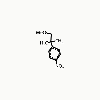 COCC(C)(C)c1ccc([N+](=O)[O-])cc1